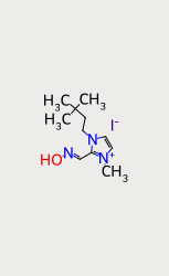 C[n+]1ccn(CCC(C)(C)C)c1C=NO.[I-]